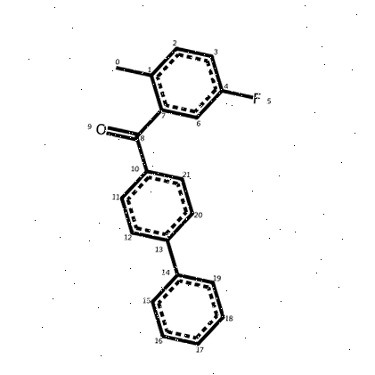 Cc1ccc(F)cc1C(=O)c1ccc(-c2ccccc2)cc1